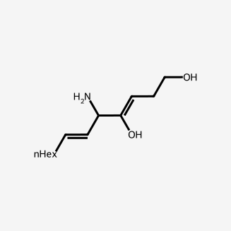 CCCCCCC=CC(N)C(O)=CCCO